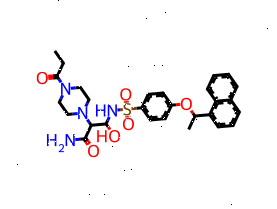 CCC(=O)N1CCN(C(C(N)=O)C(O)NS(=O)(=O)c2ccc(OC(C)c3cccc4ccccc34)cc2)CC1